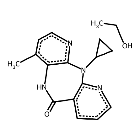 CCO.Cc1ccnc2c1NC(=O)c1cccnc1N2C1CC1